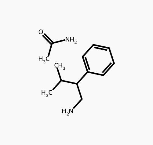 CC(C)C(CN)c1ccccc1.CC(N)=O